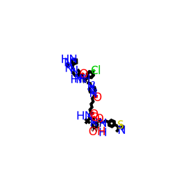 Cc1ncsc1-c1ccc(CNC(=O)[C@@H]2C[C@@H](O)CN2C(=O)C(NC(=O)CCCCCC(=O)N2CCN(CC[C@H](NC(=O)C3(N)CCN(c4ncnc5[nH]ccc45)CC3)c3ccc(Cl)cc3)CC2)C(C)(C)C)cc1